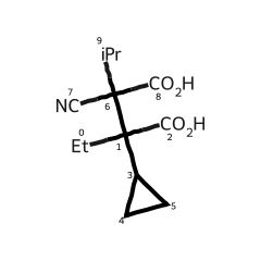 CCC(C(=O)O)(C1CC1)C(C#N)(C(=O)O)C(C)C